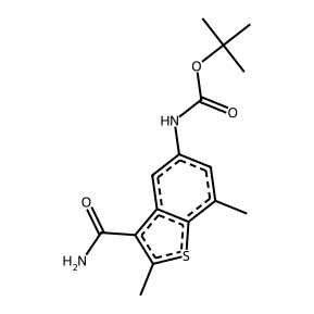 Cc1sc2c(C)cc(NC(=O)OC(C)(C)C)cc2c1C(N)=O